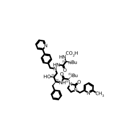 CC[C@H](C)[C@H](NC(=O)O)C(=O)NN(Cc1ccc(-c2ccccn2)cc1)C[C@H](O)[C@H](Cc1ccccc1)NC(=O)[C@H]([C@@H](C)CC)N1CCN(Cc2cccc(C)n2)C1=O